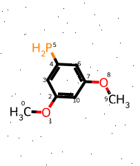 COc1cc(P)cc(OC)c1